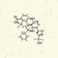 CC(C)(O)c1noc(-c2cnc(Nc3ccc4c(c3)C(C)(C)NC4=O)cc2N[C@H](CO)c2ccccc2)n1